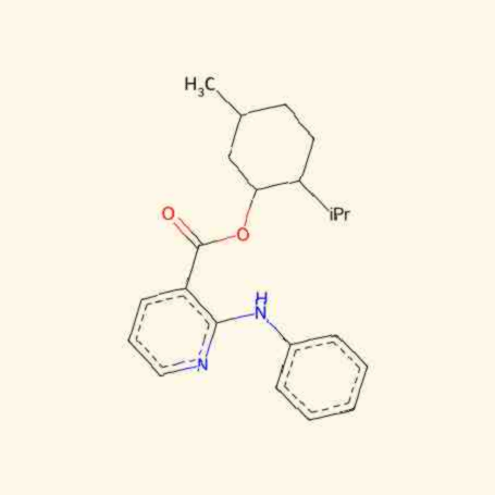 CC1CCC(C(C)C)C(OC(=O)c2cccnc2Nc2ccccc2)C1